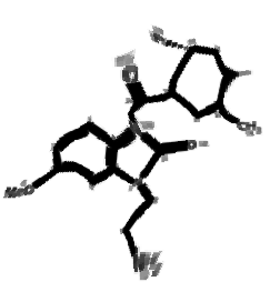 COc1ccc2c(c1)n(CCN)c(=O)n2C(=O)C1CC(C)CC[C@H]1C(C)C